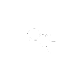 Cc1ccnc(N[C@@H](C)C(=O)O)c1